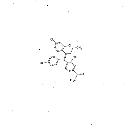 CCC/C(=C(/c1ccc(O)cc1)c1ccc(C(C)=O)cc1O)c1ccc(Cl)cc1Cl